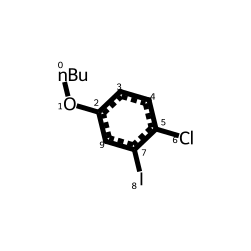 CCCCOc1ccc(Cl)c(I)c1